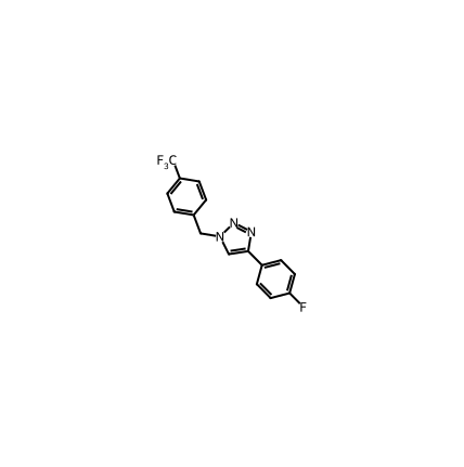 Fc1ccc(-c2cn(Cc3ccc(C(F)(F)F)cc3)nn2)cc1